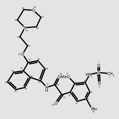 COc1c(NS(C)(=O)=O)cc(C(C)(C)C)cc1C(=O)C(=O)Nc1ccc(OCCN2CCOCC2)c2ccccc12